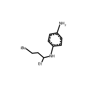 CCC(C)CCC(CC)Nc1ccc(N)cc1